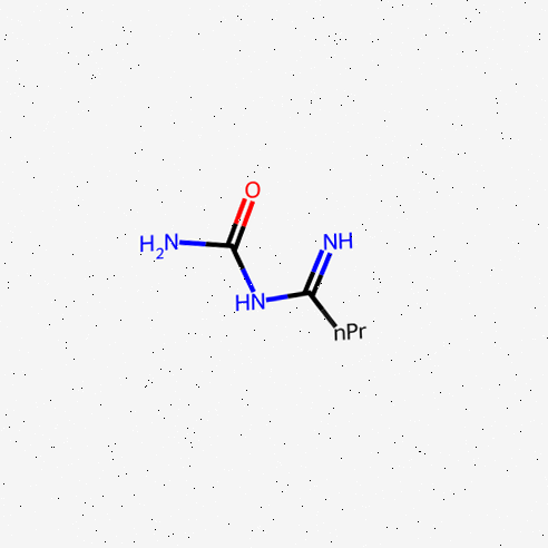 CCCC(=N)NC(N)=O